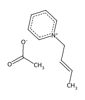 CC(=O)[O-].CC=CC[n+]1ccccc1